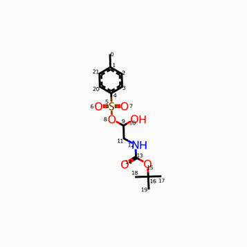 Cc1ccc(S(=O)(=O)OC(O)CNC(=O)OC(C)(C)C)cc1